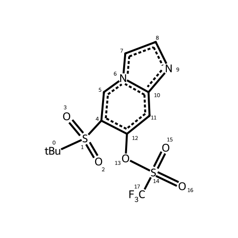 CC(C)(C)S(=O)(=O)c1cn2ccnc2cc1OS(=O)(=O)C(F)(F)F